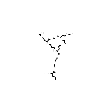 C=CCC(NC)C(=O)OCCOCCOC(=O)C(CC=C)NC(=O)CC(=O)NC(CCNC(=N)N)C(=O)OCOC(=O)C(CCNC(=N)N)NC(=O)CC(C)=O